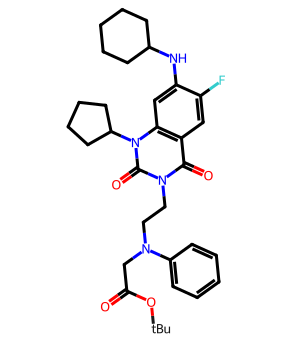 CC(C)(C)OC(=O)CN(CCn1c(=O)c2cc(F)c(NC3CCCCC3)cc2n(C2CCCC2)c1=O)c1ccccc1